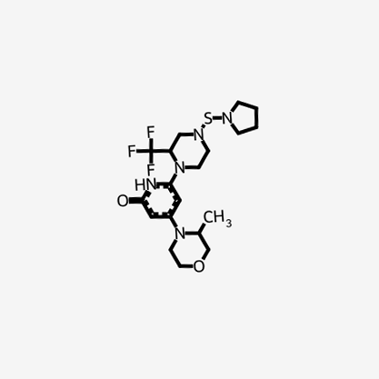 CC1COCCN1c1cc(N2CCN(SN3CCCC3)CC2C(F)(F)F)[nH]c(=O)c1